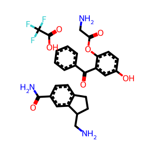 NCC(=O)Oc1ccc(O)cc1C(=O)c1ccccc1.NCC1CCc2ccc(C(N)=O)cc21.O=C(O)C(F)(F)F